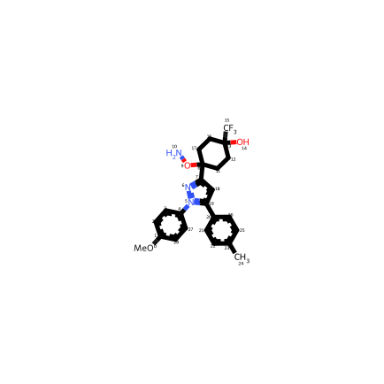 COc1ccc(-n2nc(C3(ON)CCC(O)(C(F)(F)F)CC3)cc2-c2ccc(C)cc2)cc1